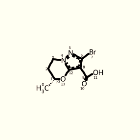 C[C@@H]1CCn2nc(Br)c(C(=O)O)c2O1